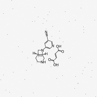 N#Cc1cncc(N2C[C@H]3CCNC[C@H]32)c1.O=C(O)C=CC(=O)O